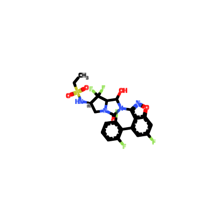 CCS(=O)(=O)N[C@@H]1CN2C(=O)N(c3noc4cc(F)cc(-c5c(F)cccc5F)c34)C(O)C2C1(F)F